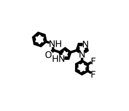 O=C(Nc1ccccc1)c1cc(-c2cncn2-c2cccc(F)c2F)c[nH]1